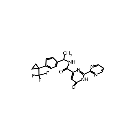 CC(NC(=O)c1cc(=O)[nH]c(-c2ncccn2)n1)c1ccc(C2(C(F)(F)F)CC2)cc1